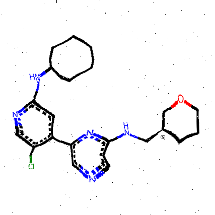 Clc1cnc(NC2CCCCC2)cc1-c1cncc(NC[C@@H]2CCCOC2)n1